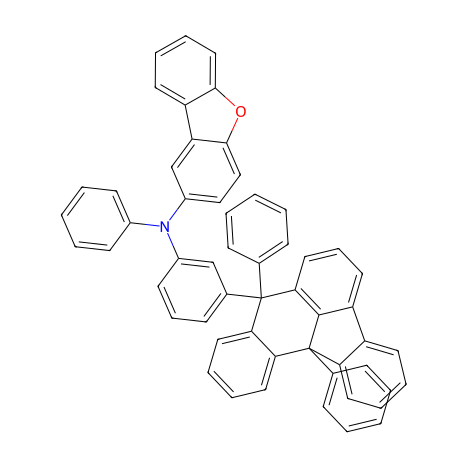 c1ccc(N(c2cccc(C3(c4ccccc4)c4ccccc4C4(c5ccccc5)c5ccccc5-c5cccc3c54)c2)c2ccc3oc4ccccc4c3c2)cc1